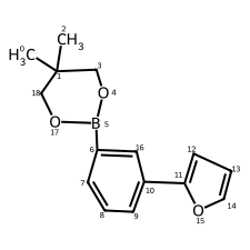 CC1(C)COB(c2cccc(-c3ccco3)c2)OC1